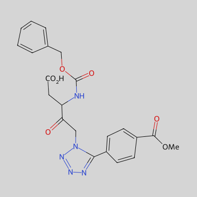 COC(=O)c1ccc(-c2nnnn2CC(=O)C(CC(=O)O)NC(=O)OCc2ccccc2)cc1